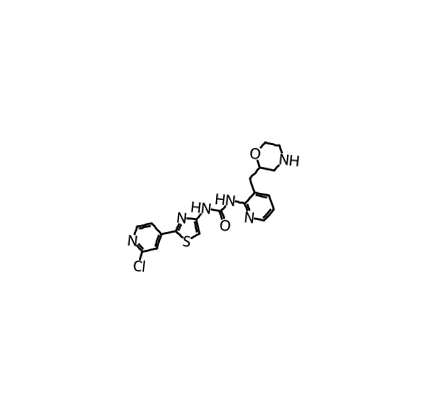 O=C(Nc1csc(-c2ccnc(Cl)c2)n1)Nc1ncccc1CC1CNCCO1